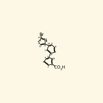 O=C(O)c1cccc(-c2cccc(-c3csc(Br)n3)c2)c1